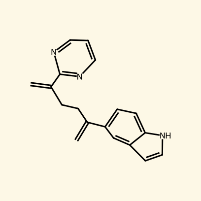 C=C(CCC(=C)c1ncccn1)c1ccc2[nH]ccc2c1